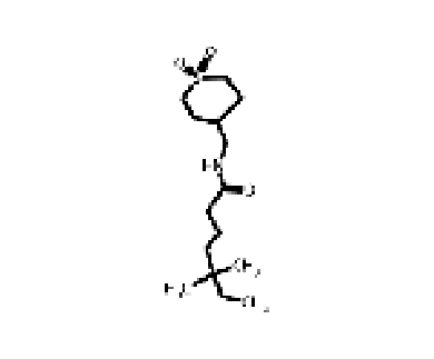 CCC(C)(C)CCCC(=O)NCC1CCS(=O)(=O)CC1